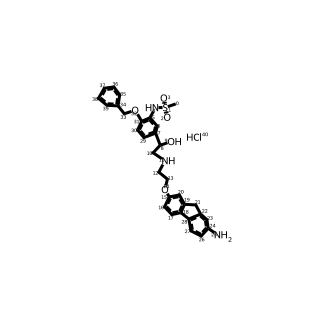 CS(=O)(=O)Nc1cc(C(O)CNCCOc2ccc3c(c2)Cc2cc(N)ccc2-3)ccc1OCc1ccccc1.Cl